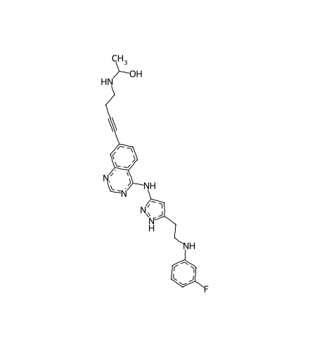 CC(O)NCCC#Cc1ccc2c(Nc3cc(CCNc4cccc(F)c4)[nH]n3)ncnc2c1